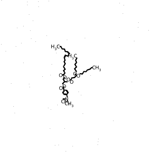 CCCCC/C=C\C/C=C\CCCCCCCC(=O)OCC(COC(=O)CCC(OCCCCCCCC)OCCCCCCCC)COC(=O)c1ccc(CN(CC)CC)cc1